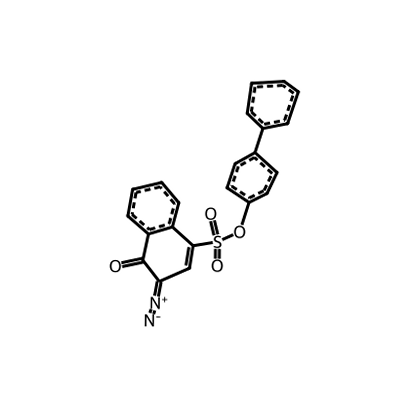 [N-]=[N+]=C1C=C(S(=O)(=O)Oc2ccc(-c3ccccc3)cc2)c2ccccc2C1=O